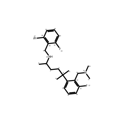 CC(CCC(C)(C)c1cccc(F)c1CN(C)C)NCc1c(F)cccc1C(C)C